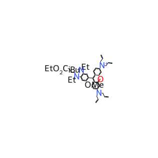 C=CCN(CC=C)c1ccc2c(-c3cc(N(CC)C(C)CC)c(N(CC)CCCC(=O)OCC)cc3OC)c3ccc(=[N+](CC=C)CC=C)cc-3oc2c1